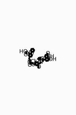 COc1cc(OCC(=O)N(C)CCc2ccc(-c3ccccc3)c(NC(=O)O)c2)c(Cl)cc1CNCC(O[Si](C)(C)C(C)(C)C)c1ccc(O)c2[nH]c(=O)ccc12